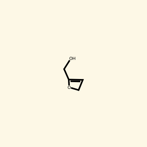 OCC1=CCO1